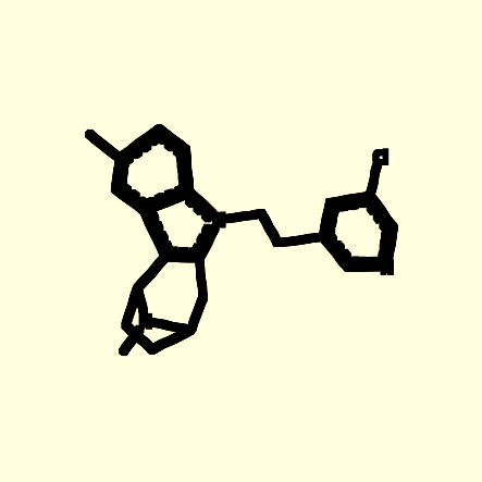 Cc1ccc2c(c1)c1c(n2CCc2cncc(Cl)c2)CC2CCC1N2C